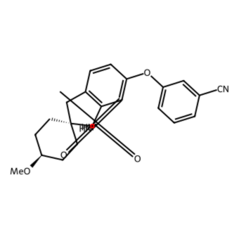 CO[C@H]1CC[C@]2(CC1)Cc1ccc(Oc3cccc(C#N)c3)cc1C21NC(=O)NC1=O